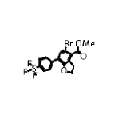 COC(=O)c1c(Br)cc(-c2ccc(S(F)(F)F)cc2)c2c1CCO2